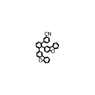 N#Cc1cccc(-c2cccc(-c3ccc4oc5ccccc5c4c3)c2-c2ccc3oc4ccccc4c3c2)c1